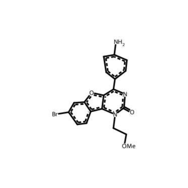 COCCn1c(=O)nc(-c2ccc(N)cc2)c2oc3cc(Br)ccc3c21